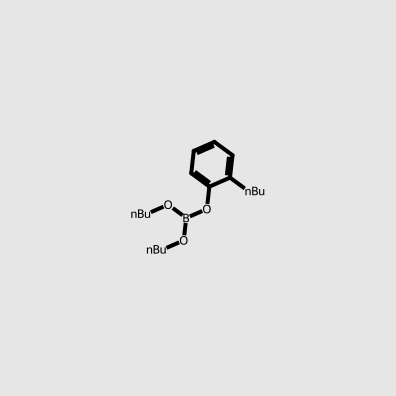 CCCCOB(OCCCC)Oc1ccccc1CCCC